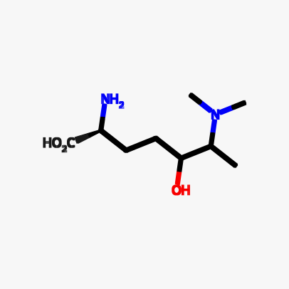 CC(C(O)CC[C@H](N)C(=O)O)N(C)C